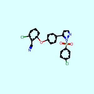 N#Cc1c(Cl)cccc1Oc1ccc(-c2ccnn2S(=O)(=O)c2ccc(Cl)cc2)cc1